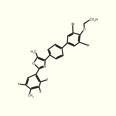 Cc1oc(-c2cc(F)c(C)c(F)c2F)nc1-c1ccc(-c2cc(Br)c(OCC(=O)O)c(Br)c2)cc1